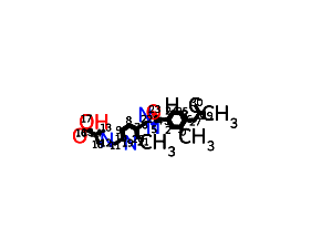 Cc1cc(-c2nc(-c3ccc(CN4CC(C(=O)O)C4)nc3C)no2)ccc1CC(C)C